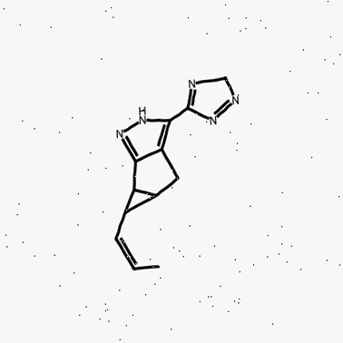 C/C=C\C1C2Cc3c(n[nH]c3C3=NCN=N3)C12